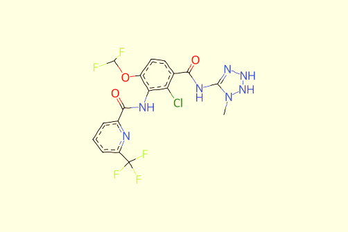 CN1NNN=C1NC(=O)c1ccc(OC(F)F)c(NC(=O)c2cccc(C(F)(F)F)n2)c1Cl